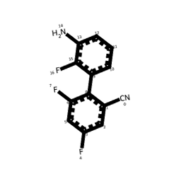 N#Cc1cc(F)cc(F)c1-c1cccc(N)c1F